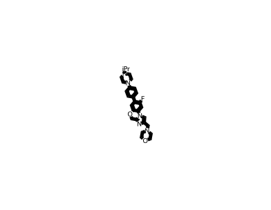 CC(C)N1CCN(c2ccc(-c3cc4c(cc3F)-n3cc(CN5CCOCC5)nc3CO4)cc2)CC1